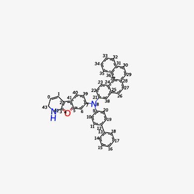 C1=Cc2c(oc3cc(N(c4ccc(-c5ccccc5)cc4)c4ccc5c(ccc6ccc7ccccc7c65)c4)ccc23)NC1